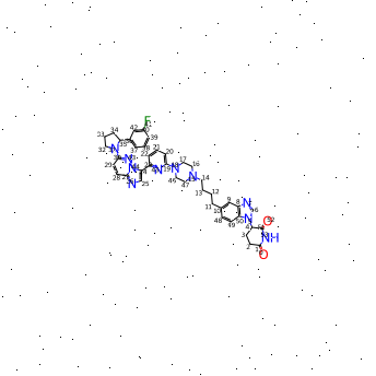 O=C1CCC(n2cnc3cc(CCCCN4CCN(c5cccc(-c6cnc7ccc(N8CCCC8c8cccc(F)c8)nn67)n5)CC4)ccc32)C(=O)N1